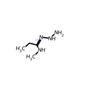 CC/C(=N/NN)NC